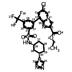 CCOC(=O)c1cn2cc(Cl)cc(-c3cc(C(F)(F)F)cc(S(=O)(=O)N[C@H]4CCC[C@@H](n5cnnc5)C4)c3)c2n1